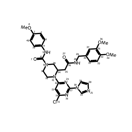 COc1ccc(NC(=O)N2CCN(c3cc(Cl)nc(-n4ccnc4)n3)C(CC(=O)NCc3ccc(OC)c(OC)c3)C2)cc1